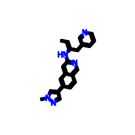 C/C=C(/Cc1cccnc1)Nc1cc2cc(-c3cnn(C)c3)ccc2cn1